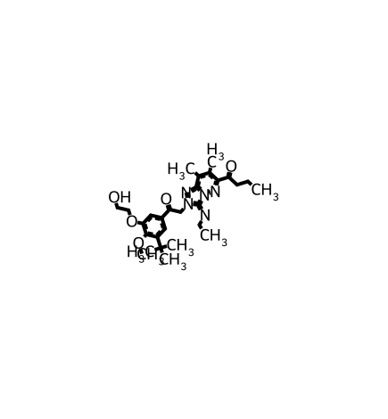 CCCC(=O)c1nn2/c(=N/CC)n(CC(=O)c3cc(OCCO)c(OC)c(C(C)(C)C)c3)nc2c(C)c1C